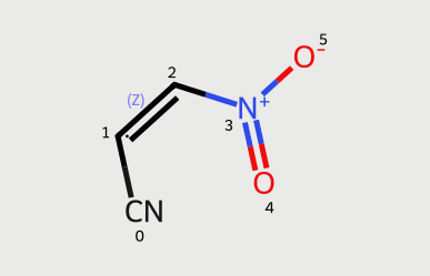 N#C/[C]=C\[N+](=O)[O-]